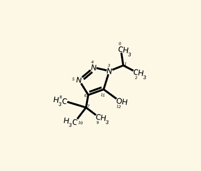 CC(C)n1nnc(C(C)(C)C)c1O